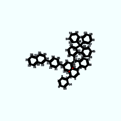 c1ccc(-c2ccc(-c3ccccc3N(c3cccc(-c4ccc(-c5ccc6ccccc6c5)cc4)c3)c3cccc4c3-c3ccccc3C4(c3ccccc3)c3ccccc3)cc2)cc1